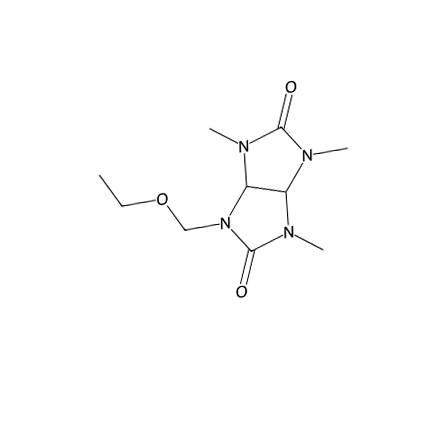 CCOCN1C(=O)N(C)C2C1N(C)C(=O)N2C